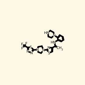 C=C(Nc1ccccc1N1CCNCC1)c1csc(N2CCN(c3nnc(C(F)(F)F)s3)CC2)n1